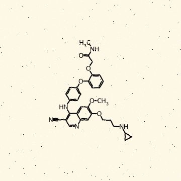 CNC(=O)COc1ccccc1Oc1ccc(Nc2c(C#N)cnc3cc(OCCCNC4CC4)c(OC)cc23)cc1